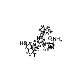 CCc1c(F)ccc2cc(O)cc(N3CCc4c(nc(OC[C@@]56CCCN5C[C@H](F)C6)nc4N4CCCn5ncc(C(N)=O)c5C4)C3)c12